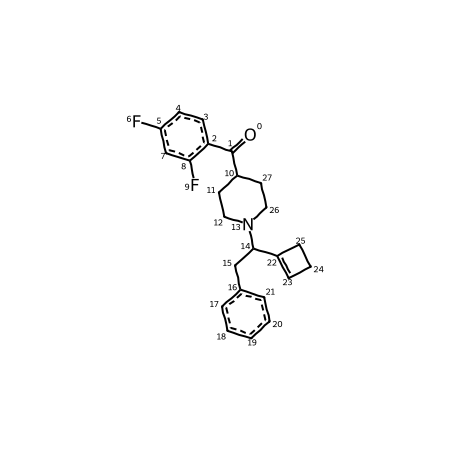 O=C(c1ccc(F)cc1F)C1CCN(C(Cc2ccccc2)C2=CCC2)CC1